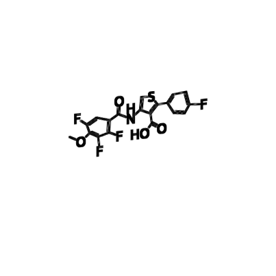 COc1c(F)cc(C(=O)Nc2csc(-c3ccc(F)cc3)c2C(=O)O)c(F)c1F